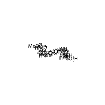 COC(=O)N[C@H](C(=O)N1CCC[C@H]1c1nc(C2=CCC(C3CC=C(c4c[nH]c([C@@H]5CCCN5C(=O)[C@H](C(C)C)N(C)C(=O)O)n4)CC3)CC2)c[nH]1)C(C)C